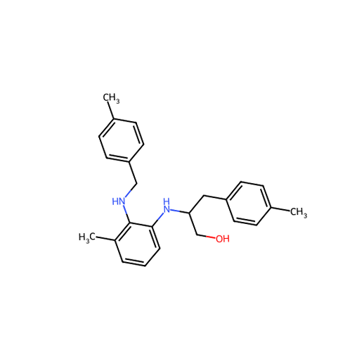 Cc1ccc(CNc2c(C)cccc2NC(CO)Cc2ccc(C)cc2)cc1